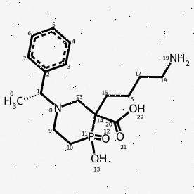 C[C@H](c1ccccc1)N1CCP(=O)(O)C(CCCCN)(C(=O)O)C1